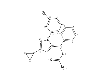 NC(=O)OC(c1ccccc1)c1cc(C2CC2)nn1-c1cccc(Cl)c1